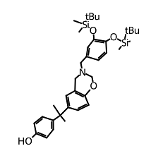 CC(C)(c1ccc(O)cc1)c1ccc2c(c1)CN(Cc1ccc(O[Si](C)(C)C(C)(C)C)c(O[Si](C)(C)C(C)(C)C)c1)CO2